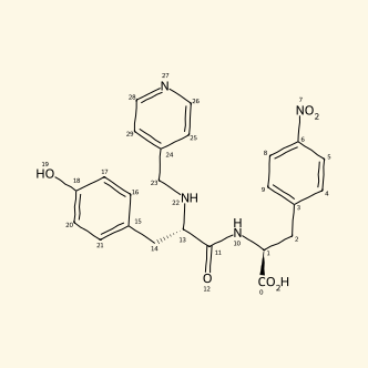 O=C(O)[C@H](Cc1ccc([N+](=O)[O-])cc1)NC(=O)[C@H](Cc1ccc(O)cc1)NCc1ccncc1